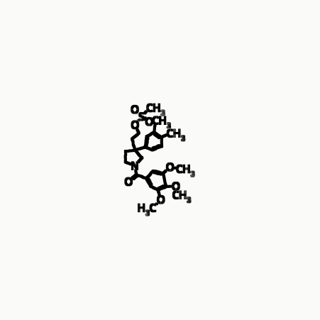 COc1cc(C(=O)N2CCC(CCOS(C)(=O)=O)(c3ccc(C)c(C)c3)C2)cc(OC)c1OC